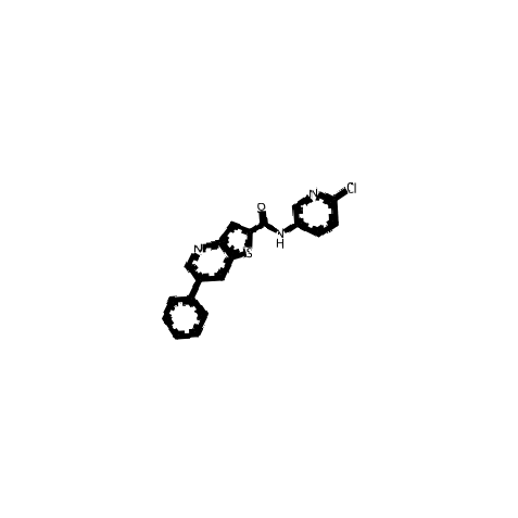 O=C(Nc1ccc(Cl)nc1)c1cc2ncc(-c3ccccc3)cc2s1